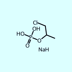 CC(CCl)OP(=O)(O)O.[NaH]